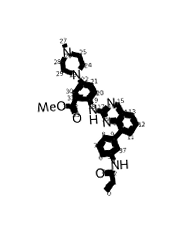 C=CC(=O)Nc1cccc(-c2cccc3cnc(Nc4ccc(N5CCN(C)CC5)cc4C(=O)OC)nc23)c1